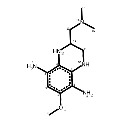 COc1cc(N)c2c(c1N)NCC(CN(C)C)N2